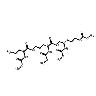 CC(C)(C)OC(=O)NCCC[C@@H](CNC(=O)[C@H](CCCNC(=O)[C@H](CCN)NC(=O)OC(C)(C)C)NC(=O)OC(C)(C)C)NC(=O)OC(C)(C)C